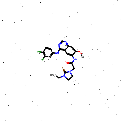 CCOc1cc2ncnc(Nc3ccc(F)c(Cl)c3)c2cc1NC(=O)CN1CCN(CC(=O)O)C1=S